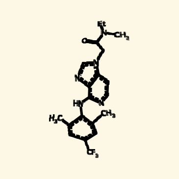 CCN(C)C(=O)Cn1cnc2c(Nc3c(C)cc(C(F)(F)F)cc3C)nccc21